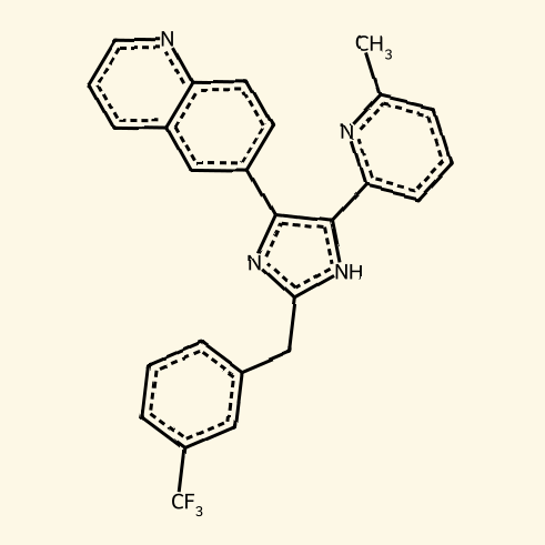 Cc1cccc(-c2[nH]c(Cc3cccc(C(F)(F)F)c3)nc2-c2ccc3ncccc3c2)n1